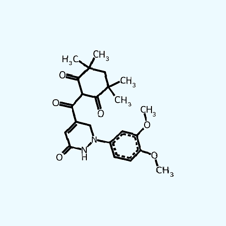 COc1ccc(N2CC(C(=O)C3C(=O)C(C)(C)CC(C)(C)C3=O)=CC(=O)N2)cc1OC